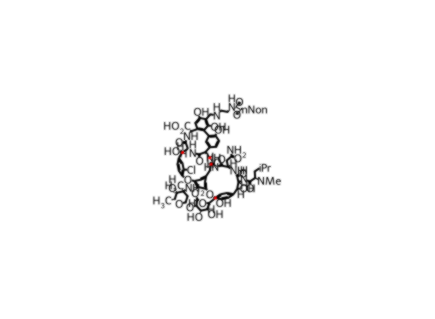 CCCCCCCCCS(=O)(=O)NCCNCc1c(O)cc2c(c1O)-c1cc(ccc1O)[C@H]1NC(=O)[C@@H]3NC(=O)[C@H](CC(N)=O)NC(=O)[C@H](NC(=O)[C@@H](CC(C)C)NC)[C@H](O)c4ccc5c(c4)C(O)[C@H]4O[C@@H](Oc6c(cc3cc6O5)Oc3ccc(cc3Cl)[C@@H](O)[C@H](NC1=O)C(=O)N[C@@H]2C(=O)O)[C@H](O[C@H]1C[C@](C)(N)[C@H](O)[C@H](C)O1)[C@@H](O)[C@@H]4O